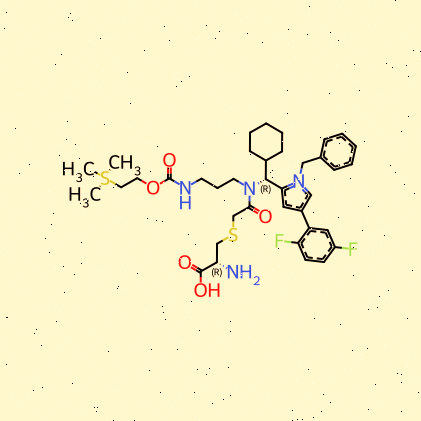 CS(C)(C)CCOC(=O)NCCCN(C(=O)CSC[C@H](N)C(=O)O)[C@@H](c1cc(-c2cc(F)ccc2F)cn1Cc1ccccc1)C1CCCCC1